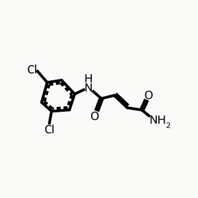 NC(=O)C=CC(=O)Nc1cc(Cl)cc(Cl)c1